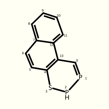 C1=PPSc2ccc3ccccc3c21